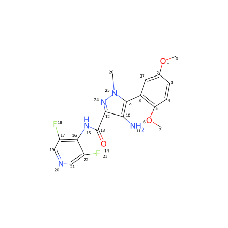 COc1ccc(OC)c(-c2c(N)c(C(=O)Nc3c(F)cncc3F)nn2C)c1